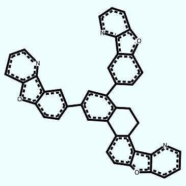 c1cnc2c(c1)oc1ccc(-c3cc(-c4ccc5oc6cccnc6c5c4)c4c(c3)-c3ccc5oc6cccnc6c5c3CC4)cc12